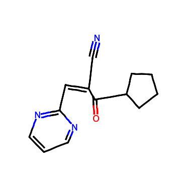 N#CC(=Cc1ncccn1)C(=O)C1CCCC1